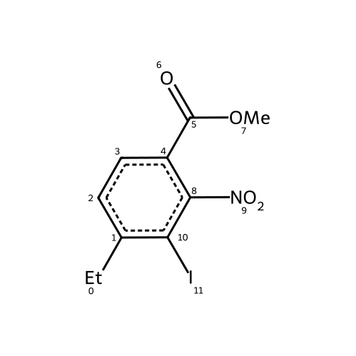 CCc1ccc(C(=O)OC)c([N+](=O)[O-])c1I